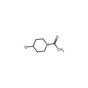 CC(=O)N1CCC([O])CC1